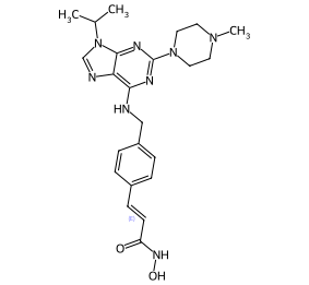 CC(C)n1cnc2c(NCc3ccc(/C=C/C(=O)NO)cc3)nc(N3CCN(C)CC3)nc21